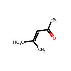 CC(=CC(=O)C(C)(C)C)C(=O)O